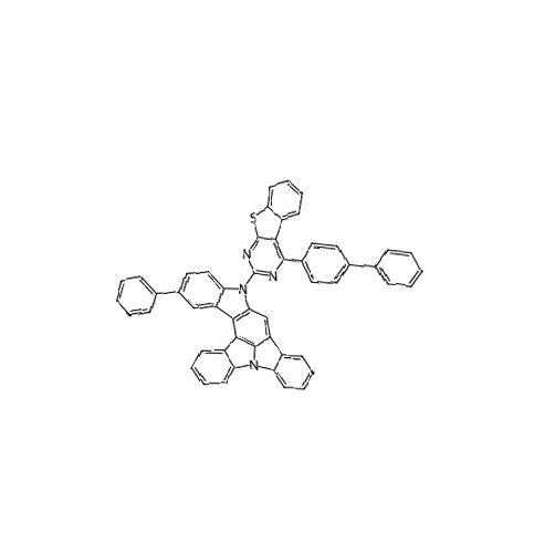 c1ccc(-c2ccc(-c3nc(-n4c5ccc(-c6ccccc6)cc5c5c6c7ccccc7n7c8ccccc8c(cc54)c67)nc4sc5ccccc5c34)cc2)cc1